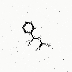 CC(=O)C(=O)OC(c1ccccc1)C(F)(F)F